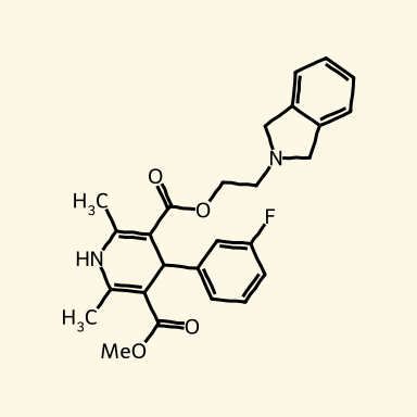 COC(=O)C1=C(C)NC(C)=C(C(=O)OCCN2Cc3ccccc3C2)C1c1cccc(F)c1